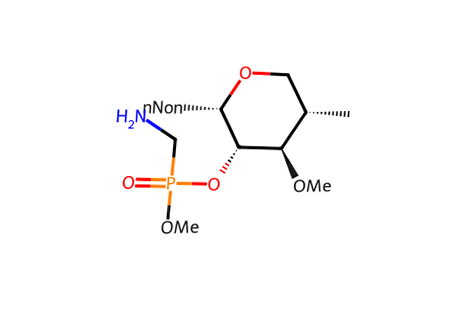 CCCCCCCCC[C@@H]1OC[C@H](C)[C@@H](OC)[C@@H]1OP(=O)(CN)OC